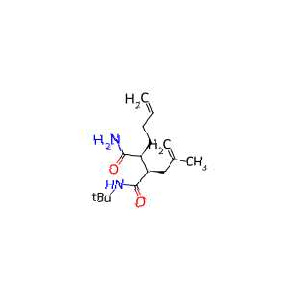 C=CCC[C@H](C(N)=O)[C@@H](CC(=C)C)C(=O)NC(C)(C)C